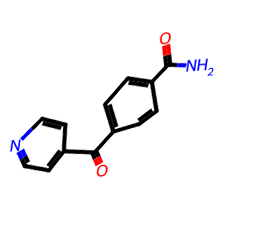 NC(=O)c1ccc(C(=O)c2ccncc2)cc1